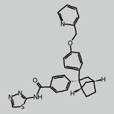 O=C(Nc1nncs1)c1ccc([C@]2(c3ccc(OCc4ccccn4)cc3)C[C@@H]3CC[C@H]2C3)cc1